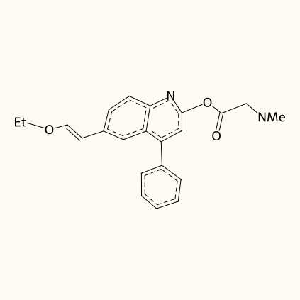 CCOC=Cc1ccc2nc(OC(=O)CNC)cc(-c3ccccc3)c2c1